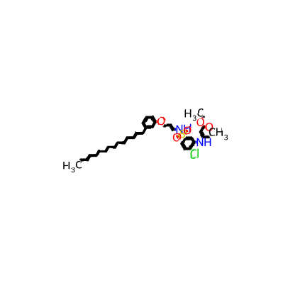 CCCCCCCCCCCCCCCc1cccc(OCCCNS(=O)(=O)c2ccc(Cl)c(NC(=CC(=O)OCC)CC)c2)c1